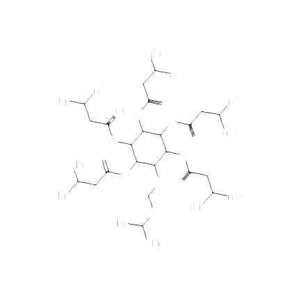 CCCC(CCC)CC(=O)OC1C(OCOC(CCC)CCC)C(OC(=O)CC(CCC)CCC)C(OC(=O)CC(CCC)CCC)C(OC(=O)CC(CCC)CCC)C1OC(=O)CC(CCC)CCC